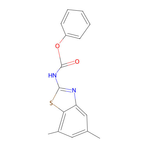 Cc1cc(C)c2sc(NC(=O)Oc3ccccc3)nc2c1